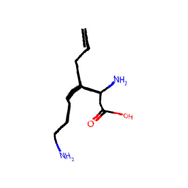 C=CCC(CCCN)C(N)C(=O)O